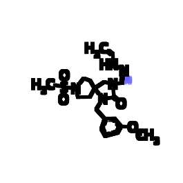 C=CN/N=C\N1CC2(CCN(S(C)(=O)=O)CC2)N(Cc2cccc(OC)c2)C1=O